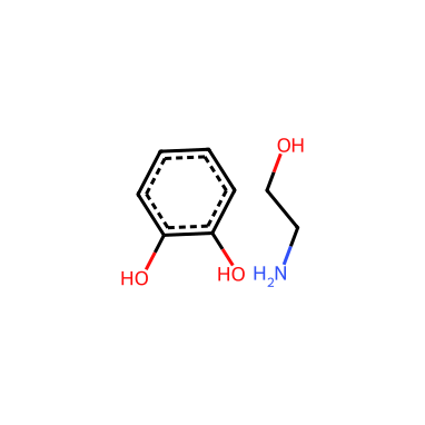 NCCO.Oc1ccccc1O